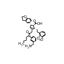 CCCCN(C(=O)CN1C[C@H](c2ccc3c(c2)CCO3)[C@@H](C(=O)O)[C@@H]1CCc1cccc2c1OCO2)c1cccc(CN)c1